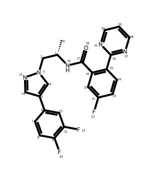 C[C@@H](Cn1cc(-c2ccc(F)c(F)c2)cn1)NC(=O)c1cc(F)ccc1-c1ncccn1